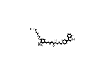 COCCOCOc1ccc(C=CC=CC(=O)NCCCN2CCC(c3c[nH]c4ccccc34)CC2)cc1OC